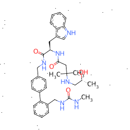 CNC(=O)NCc1ccccc1-c1ccc(CNC(=O)[C@@H](Cc2c[nH]c3ccccc23)NC(=O)CC(C)(C)NC[C@@H](C)O)cc1